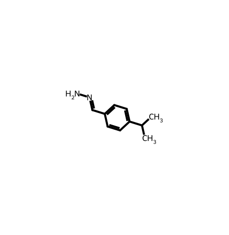 CC(C)c1ccc(/C=N/N)cc1